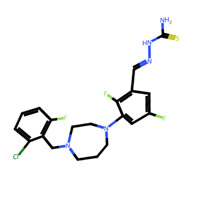 NC(=S)NN=Cc1cc(F)cc(N2CCCN(Cc3c(F)cccc3Cl)CC2)c1F